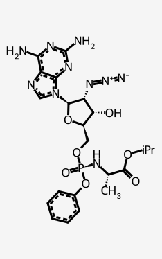 CC(C)OC(=O)[C@H](C)N[P@@](=O)(OC[C@H]1O[C@@H](n2cnc3c(N)nc(N)nc32)[C@H](N=[N+]=[N-])[C@@H]1O)Oc1ccccc1